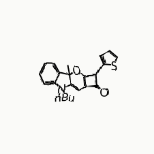 CCCCN1C2=CC3=C(OC2(C)c2ccccc21)C(c1cccs1)C3=O